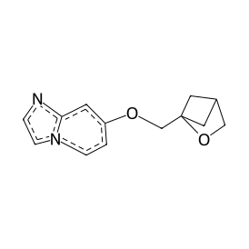 c1cn2ccc(OCC34CC(CO3)C4)cc2n1